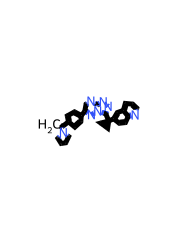 C=C(c1ccc(-c2cnc3nnc(C4(c5ccc6ncccc6c5)CC4)n3n2)cc1)N1CCCC1